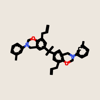 C=CCc1cc(C(C)(C)c2cc(CC=C)c3c(c2)CN(c2cccc(C)c2)CO3)cc2c1OCN(c1cccc(C)c1)C2